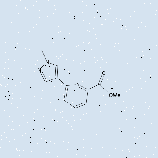 COC(=O)c1cccc(-c2cnn(C)c2)n1